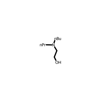 CCCCN(CCC)CCO